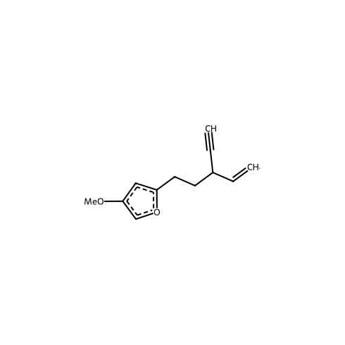 [CH]=CC(C#C)CCc1cc(OC)co1